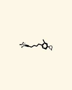 COc1ccc(CCCCC#C[Si](C)(C)C)c(C)c1